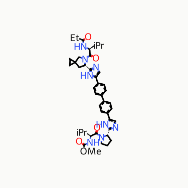 CCC(=O)N[C@H](C(=O)N1CC2(CC2)C[C@H]1c1ncc(-c2ccc(-c3ccc(-c4cnc([C@@H]5CCCN5C(=O)[C@@H](NC(=O)OC)C(C)C)[nH]4)cc3)cc2)[nH]1)C(C)C